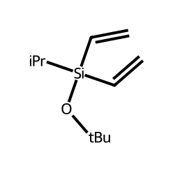 C=C[Si](C=C)(OC(C)(C)C)C(C)C